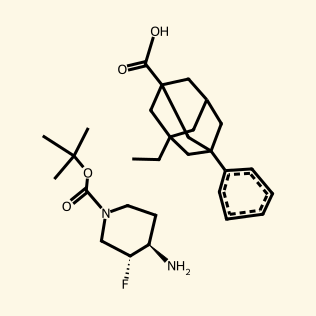 CC(C)(C)OC(=O)N1CC[C@@H](N)[C@H](F)C1.CCC12CC3CC(C(=O)O)(C1)CC(c1ccccc1)(C3)C2